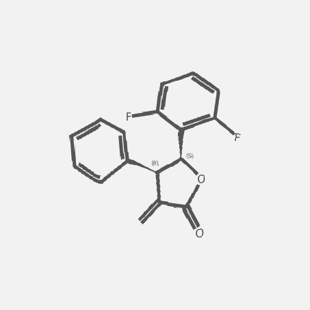 C=C1C(=O)O[C@H](c2c(F)cccc2F)[C@@H]1c1ccccc1